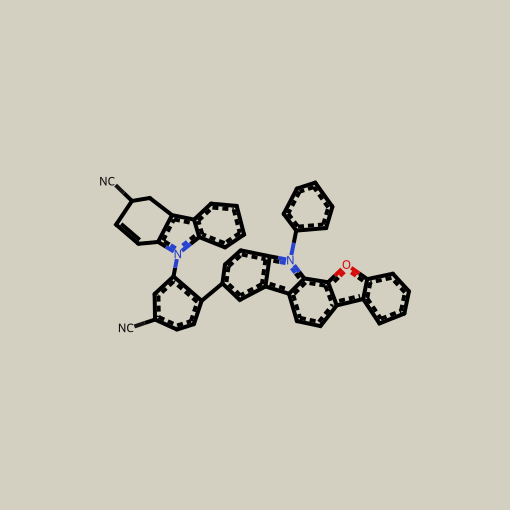 N#Cc1ccc(-c2ccc3c(c2)c2ccc4c5ccccc5oc4c2n3-c2ccccc2)c(-n2c3c(c4ccccc42)CC(C#N)C=C3)c1